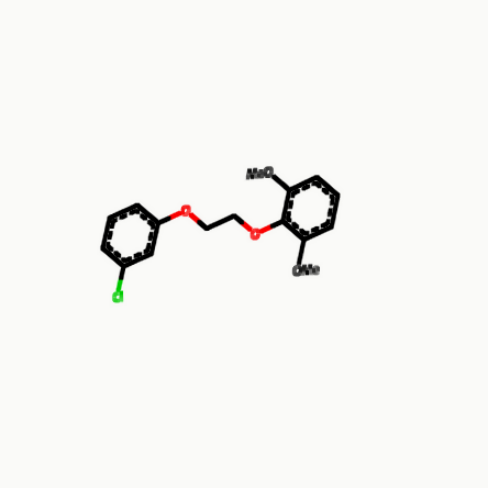 COc1cccc(OC)c1OCCOc1cccc(Cl)c1